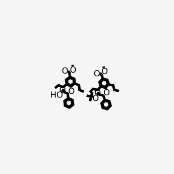 CCCc1cc(C(=O)OC)cc(CCC)c1OC(C(=O)O)c1ccccc1.CCCc1cc(C(=O)OC)cc(CCC)c1OC(C(=O)OC(C)(C)C)c1ccccc1